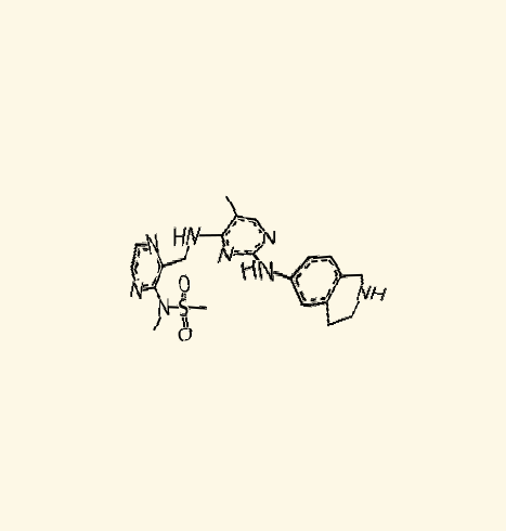 Cc1cnc(Nc2ccc3c(c2)CCNC3)nc1NCc1nccnc1N(C)S(C)(=O)=O